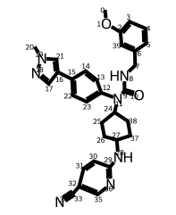 COc1cccc(CNC(=O)N(c2ccc(-c3cnn(C)c3)cc2)C2CCC(Nc3ccc(C#N)cn3)CC2)c1